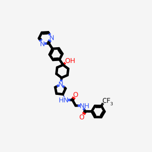 O=C(CNC(=O)c1cccc(C(F)(F)F)c1)N[C@@H]1CCN(C2CCC(O)(c3ccc(-c4ncccn4)cc3)CC2)C1